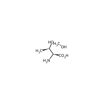 CO.C[C@@H](O)[C@H](N)C(=O)O